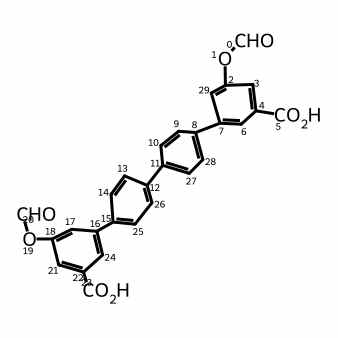 O=COc1cc(C(=O)O)cc(-c2ccc(-c3ccc(-c4cc(OC=O)cc(C(=O)O)c4)cc3)cc2)c1